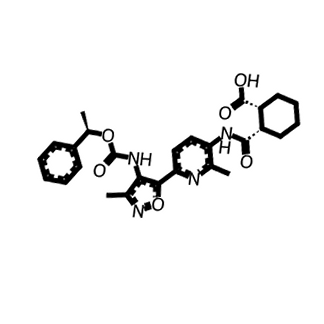 Cc1nc(-c2onc(C)c2NC(=O)O[C@H](C)c2ccccc2)ccc1NC(=O)[C@H]1CCCC[C@H]1C(=O)O